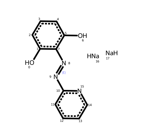 Oc1cccc(O)c1/N=N/c1ccccn1.[NaH].[NaH]